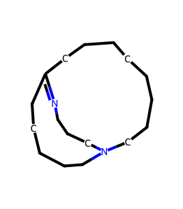 C1CCCCN2CCCCCC(=NCCC2)CCC1